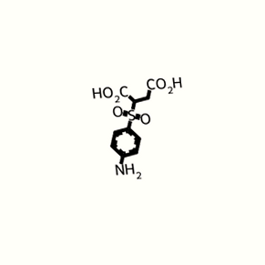 Nc1ccc(S(=O)(=O)C(CC(=O)O)C(=O)O)cc1